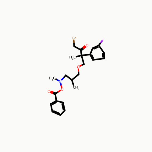 CC(COCC(C)(C(=O)CBr)c1cccc(I)c1)CN(C)OC(=O)c1ccccc1